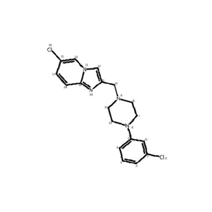 Clc1cccc(N2CCN(Cc3cn4cc(Cl)ccc4n3)CC2)c1